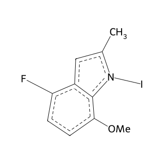 COc1ccc(F)c2cc(C)n(I)c12